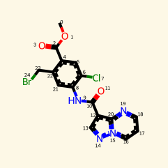 COC(=O)c1cc(Cl)c(NC(=O)c2cnn3cccnc23)cc1CBr